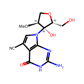 CO[C@H]1CO[C@H](CO)[C@@]1(O)n1cc(C#N)c2c(=O)[nH]c(N)nc21